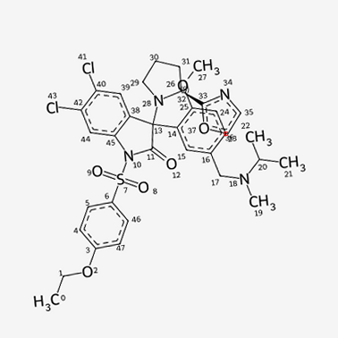 CCOc1ccc(S(=O)(=O)N2C(=O)C(c3cc(CN(C)C(C)C)ccc3OC)(N3CCC[C@H]3c3ncco3)c3cc(Cl)c(Cl)cc32)cc1